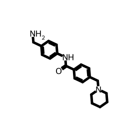 NCc1ccc(NC(=O)c2ccc(CN3CCCCC3)cc2)cc1